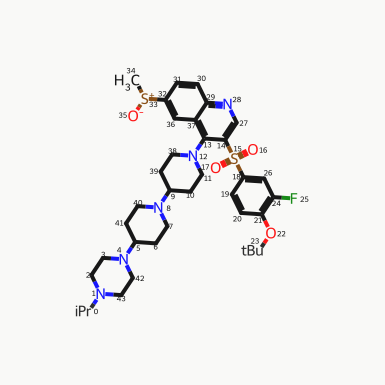 CC(C)N1CCN(C2CCN(C3CCN(c4c(S(=O)(=O)c5ccc(OC(C)(C)C)c(F)c5)cnc5ccc([S+](C)[O-])cc45)CC3)CC2)CC1